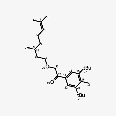 CC(C)=CCC[C@H](C)CCOCC(=O)c1cc(C(C)(C)C)c(C)c(C(C)(C)C)c1